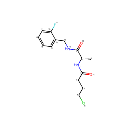 C[C@H](NC(=O)CCCCl)C(=O)NCc1ccccc1F